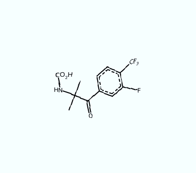 CC(C)(NC(=O)O)C(=O)c1ccc(C(F)(F)F)c(F)c1